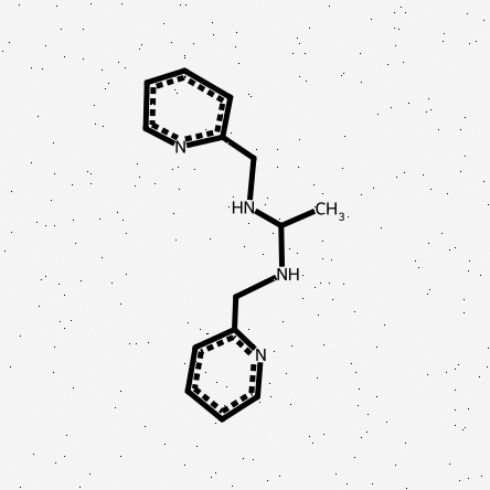 CC(NCc1ccccn1)NCc1ccccn1